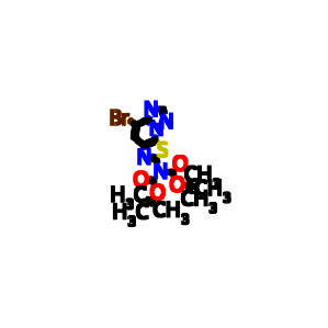 CC(C)(C)OC(=O)N(C(=O)OC(C)(C)C)c1nc2cc(Br)c3ncnn3c2s1